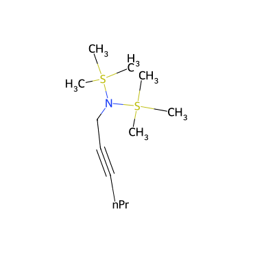 CCCC#CCN(S(C)(C)C)S(C)(C)C